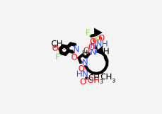 COc1cc2ccnc(O[C@@H]3C[C@H]4C(=O)N[C@]5(C(=O)NS(=O)(=O)C6(CF)CC6)C[C@H]5/C=C\CC[C@H](C)C[C@@H](C)[C@H](NC(=O)O)C(=O)N4C3)c2cc1F